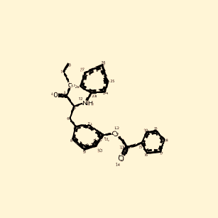 CCOC(=O)C(Cc1cccc(OC(=O)c2ccccc2)c1)Nc1ccccc1